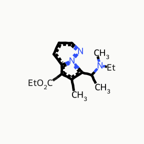 CCOC(=O)c1c(C)c(C(C)N(C)CC)n2ncccc12